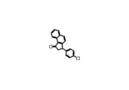 O=C1CC(c2ccc(Cl)cc2)c2ccc3ccccc3c21